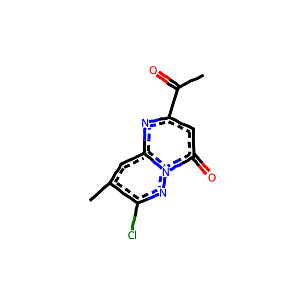 CC(=O)c1cc(=O)n2nc(Cl)c(C)cc2n1